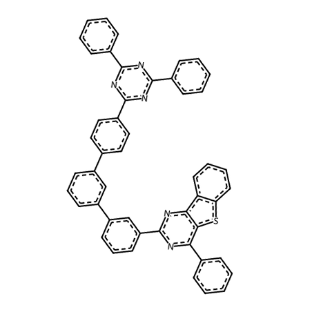 c1ccc(-c2nc(-c3ccccc3)nc(-c3ccc(-c4cccc(-c5cccc(-c6nc(-c7ccccc7)c7sc8ccccc8c7n6)c5)c4)cc3)n2)cc1